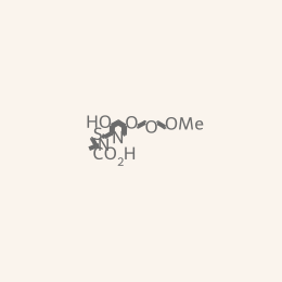 COCCOCCOc1cnc(C2=NC(C)(C(=O)O)CS2)c(O)c1